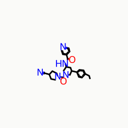 CCc1ccc(C2CC(NC(=O)c3ccncc3)CN(C(=O)N3CCC(C#N)CC3)C2)cc1